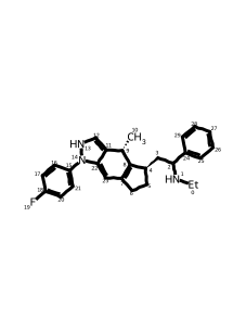 CCNC(C[C@H]1CCC2=C1[C@@H](C)C1=CNN(c3ccc(F)cc3)C1=C2)c1ccccc1